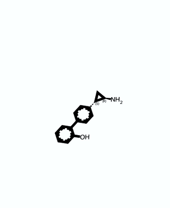 N[C@@H]1C[C@H]1c1ccc(-c2ccccc2O)cc1